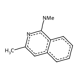 CNc1nc(C)cc2ccccc12